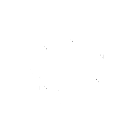 O=C1NC(=O)C(c2cn(/C=C\F)c3ncccc23)=C1c1cnccn1